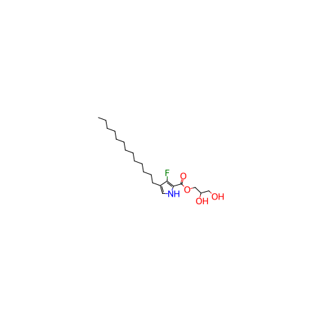 CCCCCCCCCCCCCc1c[nH]c(C(=O)OCC(O)CO)c1F